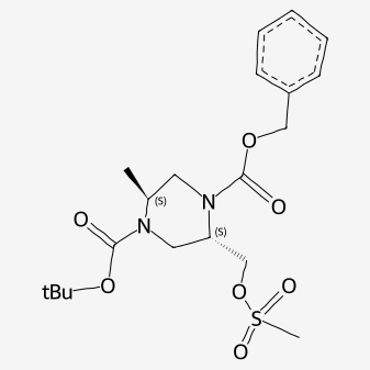 C[C@H]1CN(C(=O)OCc2ccccc2)[C@H](COS(C)(=O)=O)CN1C(=O)OC(C)(C)C